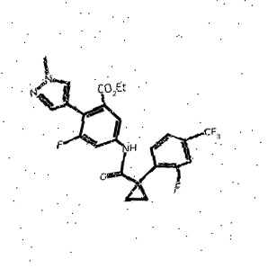 CCOC(=O)c1cc(NC(=O)C2(c3ccc(C(F)(F)F)cc3F)CC2)cc(F)c1-c1cnn(C)c1